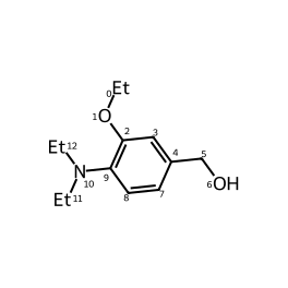 CCOc1cc(CO)ccc1N(CC)CC